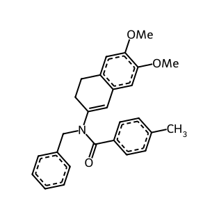 COc1cc2c(cc1OC)CCC(N(Cc1ccccc1)C(=O)c1ccc(C)cc1)=C2